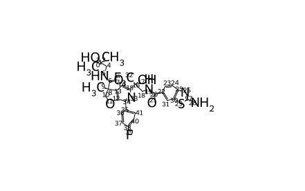 CC(C)(O)CNC(=O)[C@@]1(C)COc2c1cc([C@@](O)(CNC(=O)c1ccc3nc(N)sc3c1)C(F)(F)F)nc2-c1ccc(F)cc1